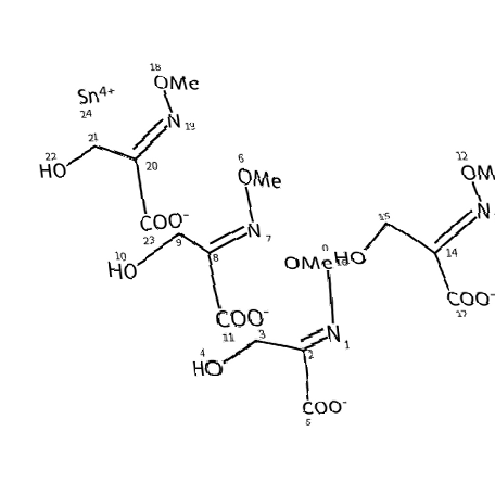 CON=C(CO)C(=O)[O-].CON=C(CO)C(=O)[O-].CON=C(CO)C(=O)[O-].CON=C(CO)C(=O)[O-].[Sn+4]